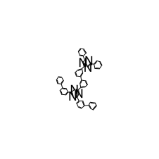 c1ccc(-c2cccc(-c3nc(-c4cccc(-c5ccccc5)c4)nc(-c4cccc(-c5cccc(-c6nc(-c7ccccc7)nc(-c7ccccc7)n6)c5)c4)n3)c2)cc1